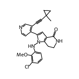 COc1c(Cl)cccc1Nn1c(-c2ccncc2C#CC2(C)CC2)cc2c1CCNC2=O